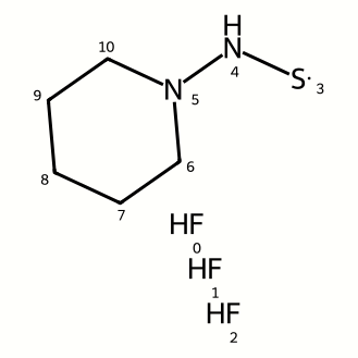 F.F.F.[S]NN1CCCCC1